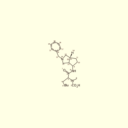 CN(C(=O)O)C(CC(C)(C)C)C(=O)NC1CC[C@H]2CN(Cc3ccccc3)CC12